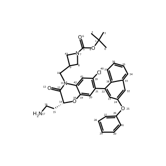 CC(C)(C)OC(=O)N1CC(CN2C(=O)[C@@H](CCN)Oc3cc(-c4cc(Oc5ccccc5)cc5ccccc45)c(Cl)cc32)C1